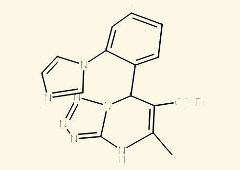 CCOC(=O)C1=C(C)Nc2nnnn2C1c1ccccc1-n1ccnc1